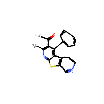 CC(=O)c1c(C)nc2sc3cnccc3c2c1-c1ccccc1